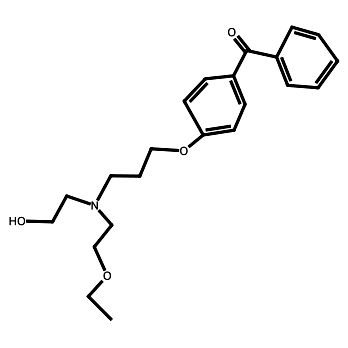 CCOCCN(CCO)CCCOc1ccc(C(=O)c2ccccc2)cc1